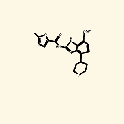 COc1ccc(C2CCOCC2)c2nc(NC(=O)c3cnc(C)o3)[nH]c12